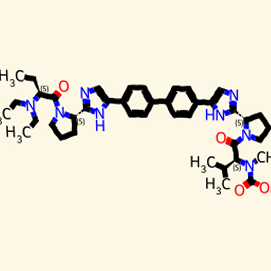 CC[C@@H](C(=O)N1CCC[C@H]1c1ncc(-c2ccc(-c3ccc(-c4cnc([C@@H]5CCCN5C(=O)[C@H](C(C)C)N(C)C(=O)O)[nH]4)cc3)cc2)[nH]1)N(CC)CC